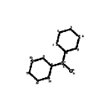 [O-][S+](C1CSCCS1)C1CSCCS1